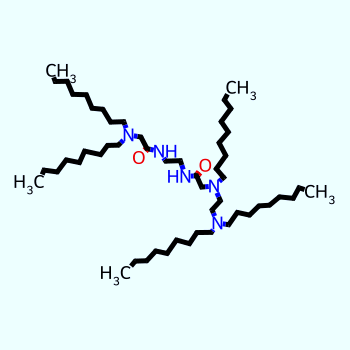 CCCCCCCCCN(CCCCCCCCC)CCN(CCCCCCCCC)CC(=O)NCCNC(=O)CN(CCCCCCCCC)CCCCCCCCC